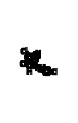 OC(CNCc1ccc(Cl)cc1)(Cn1cncn1)c1ccc(Cl)cc1Cl